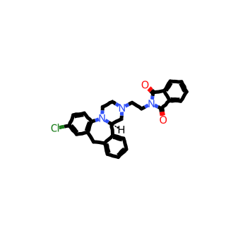 O=C1c2ccccc2C(=O)N1CCN1CCN2c3ccc(Cl)cc3Cc3ccccc3[C@@H]2C1